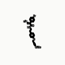 CCCOC(C(=O)NCCc1ccc(OCC#COC)cc1)c1ccc(Br)cc1